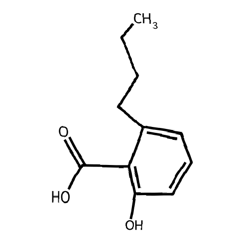 CCCCc1cccc(O)c1C(=O)O